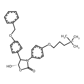 C[N+](C)(C)CCCOc1ccc(N2C(=O)O[C@H](O)C2c2ccc(OCc3ccccc3)cc2)cc1